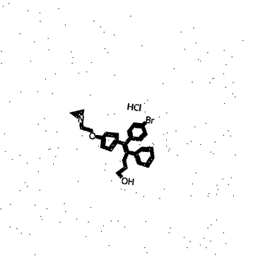 Cl.OCCCC(=C(c1ccc(Br)cc1)c1ccc(OCCN2CC2)cc1)c1ccccc1